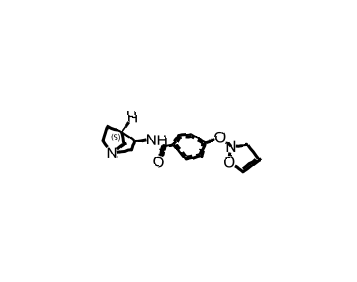 O=C(NC1CN2CC[C@H]1C2)c1ccc(ON2CC=CO2)cc1